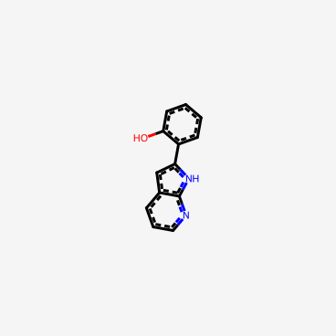 Oc1ccccc1-c1cc2cccnc2[nH]1